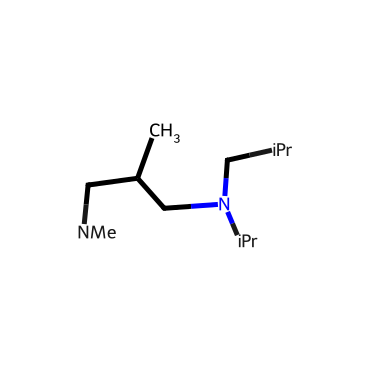 CNCC(C)CN(CC(C)C)C(C)C